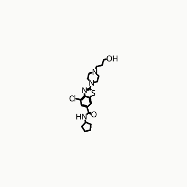 O=C(NC1CCCC1)c1cc(Cl)c2nc(N3CCN(CCCO)CC3)sc2c1